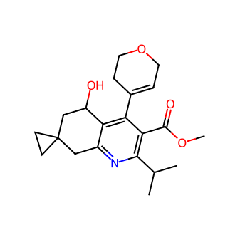 COC(=O)c1c(C(C)C)nc2c(c1C1=CCOCC1)C(O)CC1(CC1)C2